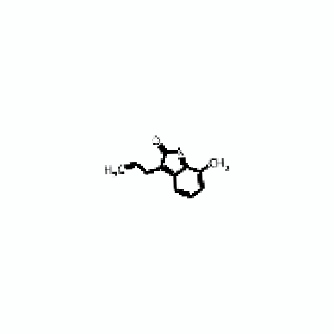 C=CCC1=c2cccc(C)c2=NC1=O